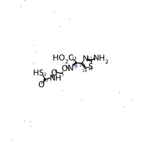 Nc1nc(/C(=N/OCONC(=O)S)C(=O)O)cs1